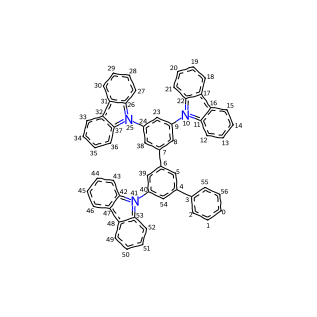 c1ccc(-c2cc(-c3cc(-n4c5ccccc5c5ccccc54)cc(-n4c5ccccc5c5ccccc54)c3)cc(-n3c4ccccc4c4ccccc43)c2)cc1